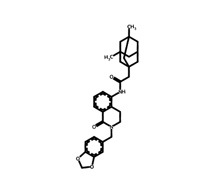 CC12CC3CC(C)(C1)CC(CC(=O)Nc1cccc4c1CCN(Cc1ccc5c(c1)OCO5)C4=O)(C3)C2